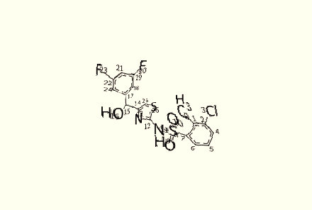 Cc1c(Cl)cccc1S(=O)(=O)Nc1nc(C(O)c2cc(F)cc(F)c2)cs1